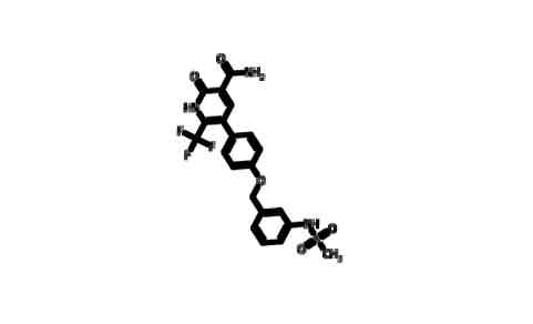 CS(=O)(=O)Nc1cccc(COc2ccc(-c3cc(C(N)=O)c(=O)[nH]c3C(F)(F)F)cc2)c1